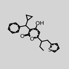 CCC(Cc1cccs1)c1cc(O)c(C(c2ccccc2)C2CC2)c(=O)o1